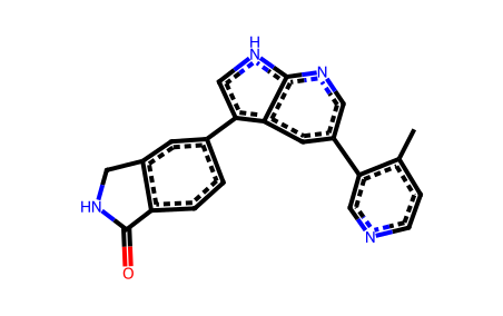 Cc1ccncc1-c1cnc2[nH]cc(-c3ccc4c(c3)CNC4=O)c2c1